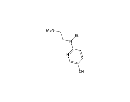 CCN(CCNC)c1ccc(C#N)cn1